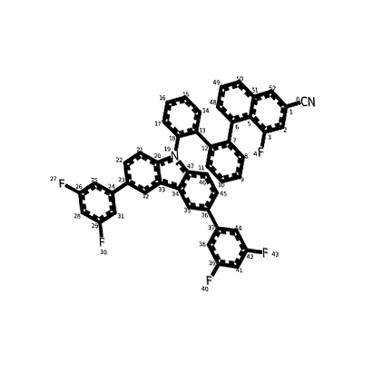 N#Cc1cc(F)c2c(-c3ccccc3-c3ccccc3-n3c4ccc(-c5cc(F)cc(F)c5)cc4c4cc(-c5cc(F)cc(F)c5)ccc43)cccc2c1